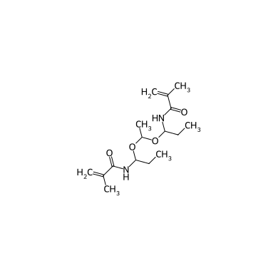 C=C(C)C(=O)NC(CC)OC(C)OC(CC)NC(=O)C(=C)C